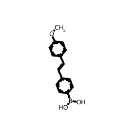 COc1ccc(/C=C/c2ccc(B(O)O)cc2)cc1